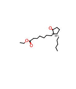 CCCCC[C@H]1CCC(=O)[C@@H]1CCCCCCC(=O)OCC